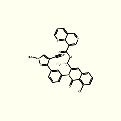 C#Cc1cn(C)nc1-c1cccc(-n2c([C@H](C)NC(=O)c3cncc4cccnc34)cc3cccc(Cl)c3c2=O)c1